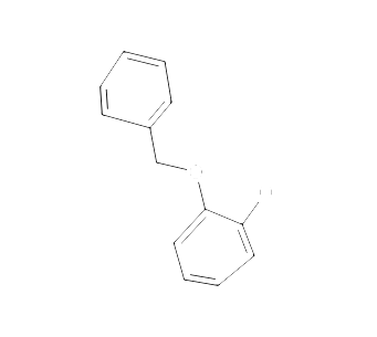 [O]c1ccccc1OCc1ccccc1